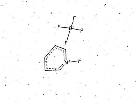 F[B-](F)(F)F.F[n+]1ccccc1